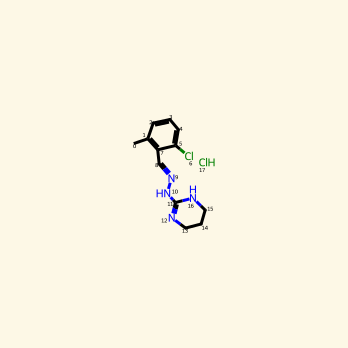 Cc1cccc(Cl)c1C=NNC1=NCCCN1.Cl